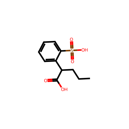 CCCC(C(=O)O)c1ccccc1S(=O)(=O)O